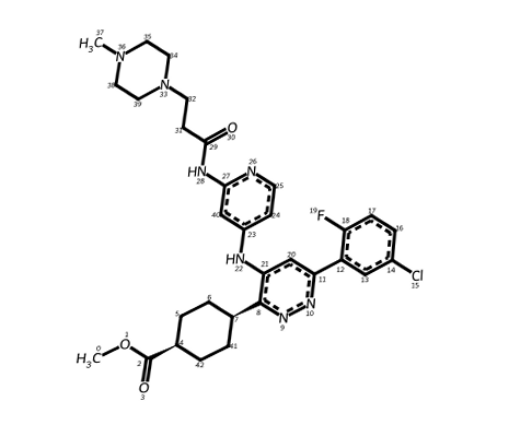 COC(=O)[C@H]1CC[C@@H](c2nnc(-c3cc(Cl)ccc3F)cc2Nc2ccnc(NC(=O)CCN3CCN(C)CC3)c2)CC1